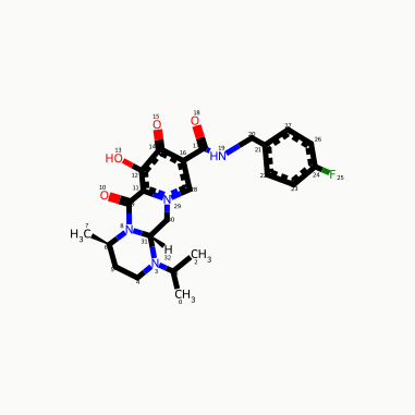 CC(C)N1CC[C@@H](C)N2C(=O)c3c(O)c(=O)c(C(=O)NCc4ccc(F)cc4)cn3C[C@H]12